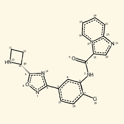 O=C(Nc1cc(-c2noc([C@H]3CCN3)n2)ccc1Cl)c1cnc2ccccn12